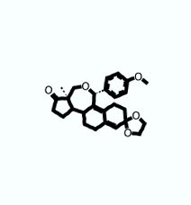 COc1ccc([C@H]2OC[C@]3(C)C(=O)CCC3C3CCC4=CC5(CCC4=C32)OCCO5)cc1